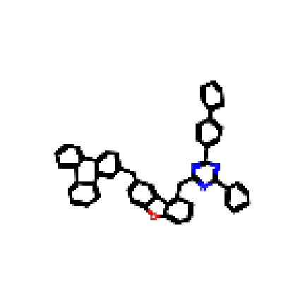 c1ccc(-c2ccc(-c3nc(Cc4cccc5oc6ccc(Cc7ccc8c9ccccc9c9ccccc9c8c7)cc6c45)nc(-c4ccccc4)n3)cc2)cc1